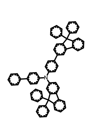 c1ccc(-c2ccc(N(c3ccc(-c4ccc5c(c4)-c4ccccc4C5(c4ccccc4)c4ccccc4)cc3)c3ccc4c(c3)C(c3ccccc3)(c3ccccc3)c3ccccc3-4)cc2)cc1